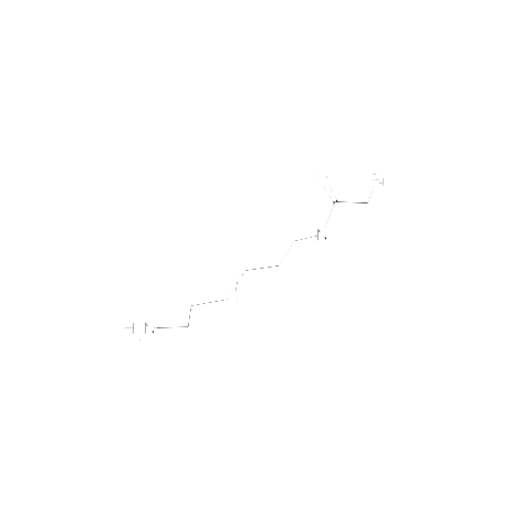 NCCSSCCNC(=O)CBr